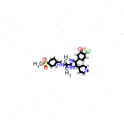 CC(C)(NCc1ccc(S(C)(=O)=O)cc1)c1nc(-c2ccc(Cl)c(O)c2)c(-c2ccncc2)[nH]1